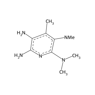 CNc1c(N(C)C)nc(N)c(N)c1C